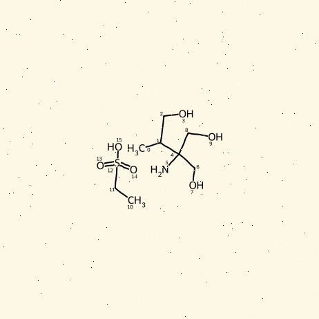 CC(CO)C(N)(CO)CO.CCS(=O)(=O)O